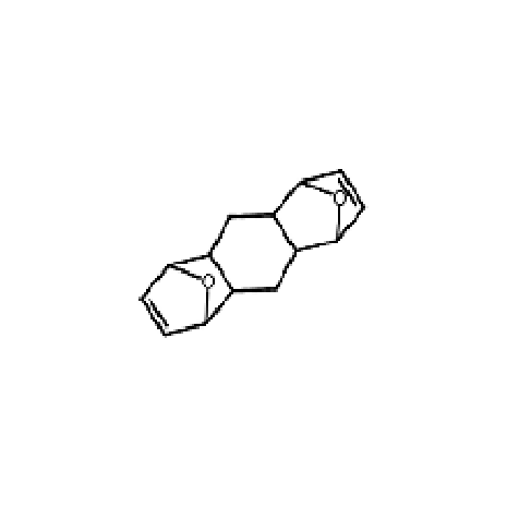 C1=CC2OC1C1CC3C4C=CC(O4)C3CC21